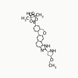 CCO[C@@H]1CN[C@H](c2nc3ccc4cc5c(cc4c3[nH]2)OCc2cc(B3OC(C)(C)C(C)(C)O3)ccc2-5)C1